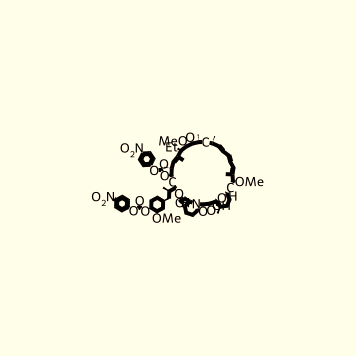 CC[C@@H]1/C(C)=C/[C@@H](C)[C@H](OC(=O)Oc2ccc([N+](=O)[O-])cc2)C[C@@H]([C@H](C)C[C@@H]2CC[C@@H](OC(=O)Oc3ccc([N+](=O)[O-])cc3)[C@H](OC)C2)OC(=O)[C@@H]2CCCCN2C(=O)C(=O)[C@]2(O)O[C@@H](CC[C@H]2C)C[C@H](OC)/C(C)=C/C=C/C=C/[C@@H](C)C[C@@H](C)C(=O)[C@@H]1OC